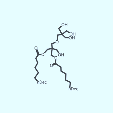 CCCCCCCCCCCCCCCC(=O)OCC(CO)(COCC(CO)(CO)CO)COC(=O)CCCCCCCCCCCCCCC